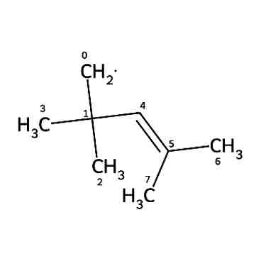 [CH2]C(C)(C)C=C(C)C